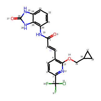 O=C(/C=C/c1ccc(C(F)(F)Cl)nc1OCC1CC1)Nc1cccc2[nH]c(=O)[nH]c12